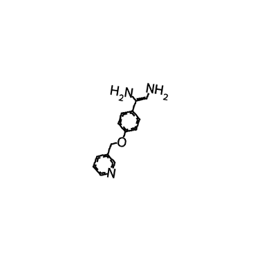 N/C=C(\N)c1ccc(OCc2cccnc2)cc1